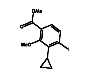 COC(=O)c1ccc(I)c(C2CC2)c1OC